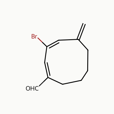 C=C1/C=C(Br)\C=C(\C=O)CCCC1